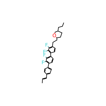 C/C=C/c1ccc(-c2ccc(-c3ccc(CCC4CCC(CCC)CO4)c(F)c3F)c(F)c2F)cc1